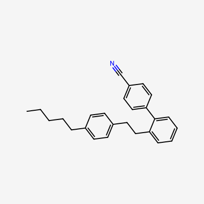 CCCCCc1ccc(CCc2ccccc2-c2ccc(C#N)cc2)cc1